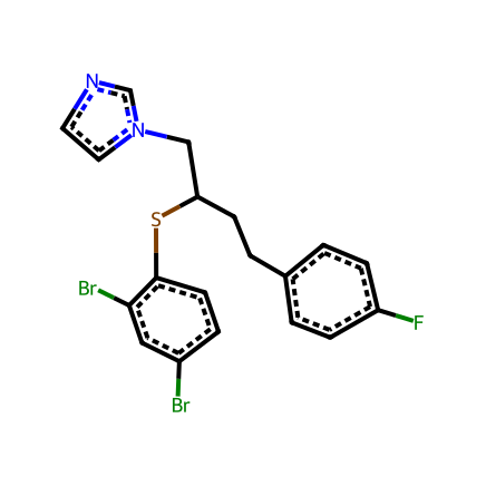 Fc1ccc(CCC(Cn2ccnc2)Sc2ccc(Br)cc2Br)cc1